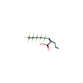 CCCC(=CC(F)(F)C(F)(F)C(F)(F)C(F)(F)C(F)(F)F)C(=O)O